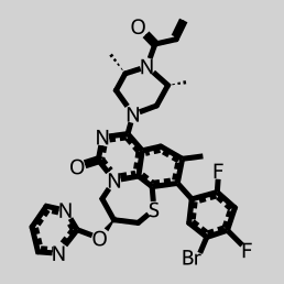 C=CC(=O)N1[C@H](C)CN(c2nc(=O)n3c4c(c(-c5cc(Br)c(F)cc5F)c(C)cc24)SC[C@@H](Oc2ncccn2)C3)C[C@@H]1C